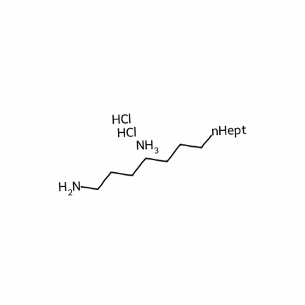 CCCCCCCCCCCCCCN.Cl.Cl.N